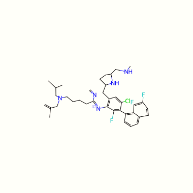 C=N/C(CCCCN(CC(=C)C)CC(C)C)=N\c1c(CC2CCC(CNC)N2)cc(Cl)c(-c2cccc3ccc(F)c(F)c23)c1F